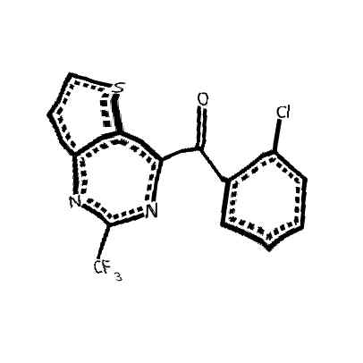 O=C(c1ccccc1Cl)c1nc(C(F)(F)F)nc2ccsc12